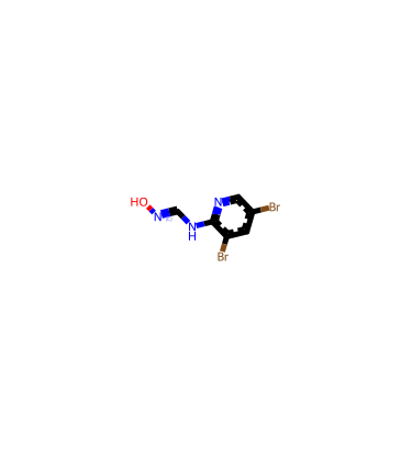 O/N=C/Nc1ncc(Br)cc1Br